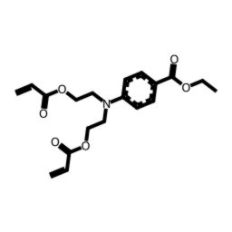 C=CC(=O)OCCN(CCOC(=O)C=C)c1ccc(C(=O)OCC)cc1